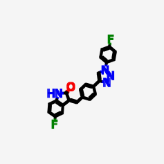 O=C1Nc2ccc(F)cc2C1=Cc1ccc(-c2cn(-c3ccc(F)cc3)nn2)cc1